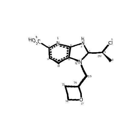 C[C@H](Cl)C1Nc2nc(C(=O)O)ccc2N1CC1CCO1